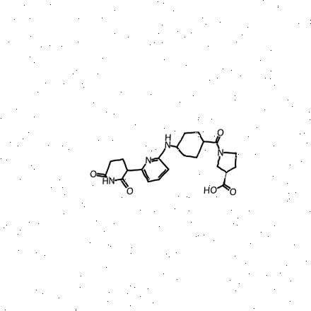 O=C1CCC(c2cccc(NC3CCC(C(=O)N4CC[C@@H](C(=O)O)C4)CC3)n2)C(=O)N1